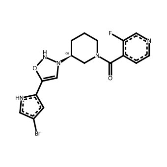 O=C(c1ccncc1F)N1CCC[C@H](N2C=C(c3cc(Br)c[nH]3)ON2)C1